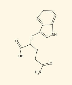 NC(=O)CO[C@@H](Cc1c[nH]c2ccccc12)C(=O)O